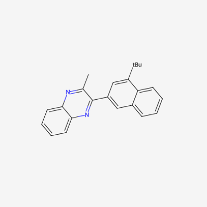 Cc1nc2ccccc2nc1-c1cc(C(C)(C)C)c2ccccc2c1